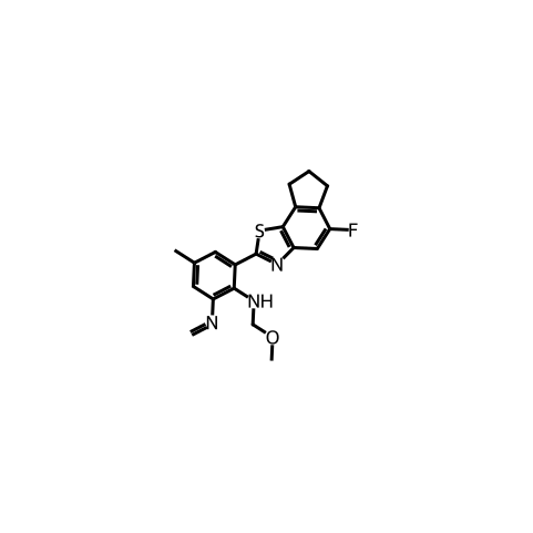 C=Nc1cc(C)cc(-c2nc3cc(F)c4c(c3s2)CCC4)c1NCOC